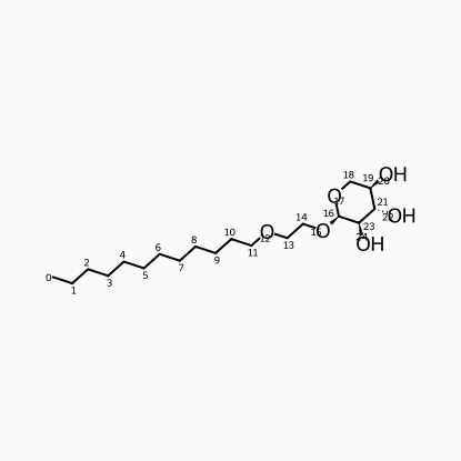 CCCCCCCCCCCCOCCO[C@H]1OC[C@@H](O)[C@H](O)[C@H]1O